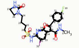 CNC(=O)c1c(-c2ccc(F)cc2)oc2nc(NS(=O)(=O)CCCCN3CCNC3=O)c(I)cc12